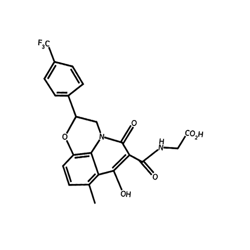 Cc1ccc2c3c1c(O)c(C(=O)NCC(=O)O)c(=O)n3CC(c1ccc(C(F)(F)F)cc1)O2